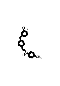 Cc1ccc([S@@+]([O-])N=Cc2ccc(Cc3cccc(C)c3)cc2)cc1